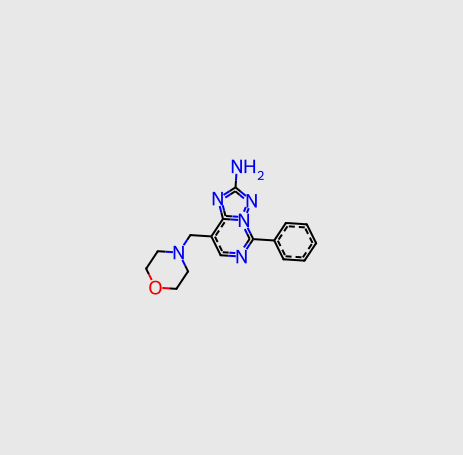 Nc1nc2c(CN3CCOCC3)cnc(-c3ccccc3)n2n1